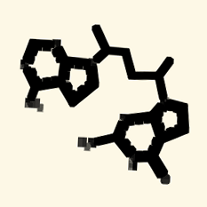 CC(CCC(C)n1ccc2c(=O)[nH]c(N)nc21)n1ccc2c(N)ncnc21